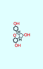 Oc1ccc([C@@H]2Oc3ccc(O)cc3[C@@H]3C[C@H](O)C[C@@H]32)cc1